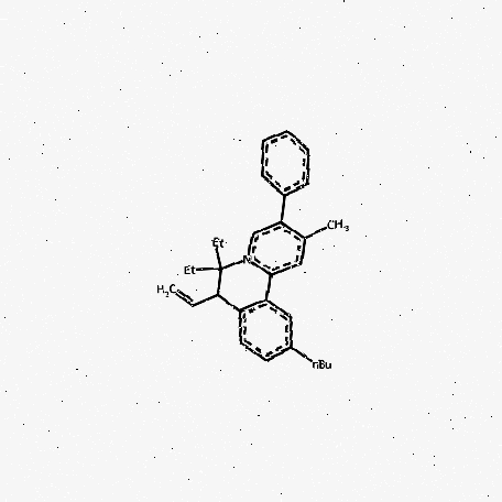 C=CC1c2ccc(CCCC)cc2-c2cc(C)c(-c3ccccc3)c[n+]2C1(CC)CC